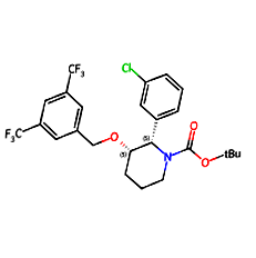 CC(C)(C)OC(=O)N1CCC[C@H](OCc2cc(C(F)(F)F)cc(C(F)(F)F)c2)[C@@H]1c1cccc(Cl)c1